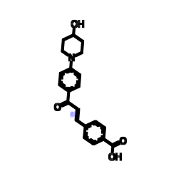 O=C(O)c1ccc(/C=C/C(=O)c2ccc(N3CCC(O)CC3)cc2)cc1